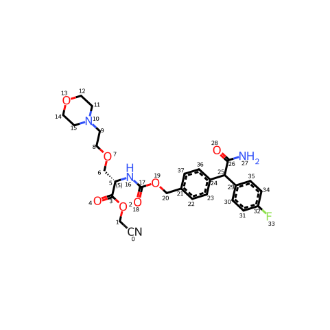 N#CCOC(=O)[C@H](COCCN1CCOCC1)NC(=O)OCc1ccc(C(C(N)=O)c2ccc(F)cc2)cc1